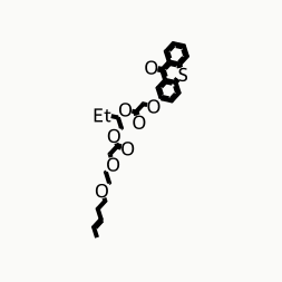 C/C=C/CCOCCOCC(=O)OCC(CC)OC(=O)COc1ccc2sc3ccccc3c(=O)c2c1